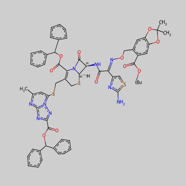 Cc1cc(SCC2=C(C(=O)OC(c3ccccc3)c3ccccc3)N3C(=O)[C@@H](NC(=O)C(=NOCc4cc5c(cc4C(=O)OC(C)(C)C)OC(C)(C)O5)c4csc(N)n4)[C@H]3SC2)n2nc(C(=O)OC(c3ccccc3)c3ccccc3)nc2n1